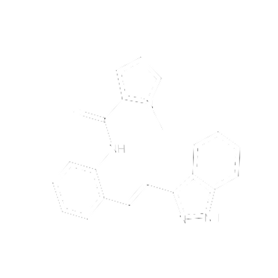 Cn1cccc1C(=O)Nc1ccccc1C=Cc1n[nH]c2ccccc12